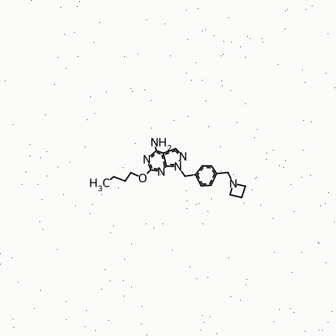 CCCCOc1nc(N)c2cnn(Cc3ccc(CN4CCC4)cc3)c2n1